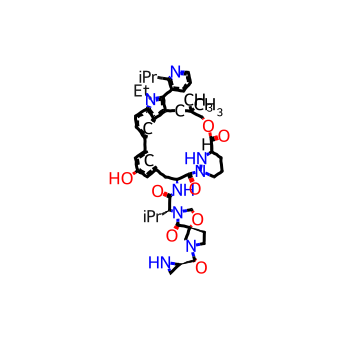 CCn1c(-c2cccnc2C(C)C)c2c3cc(ccc31)-c1cc(O)cc(c1)C[C@H](NC(=O)[C@H](C(C)C)N1CO[C@@]3(CCN(C(=O)[C@H]4CN4)C3)C1=O)C(=O)N1CCC[C@H](N1)C(=O)OCC(C)(C)C2